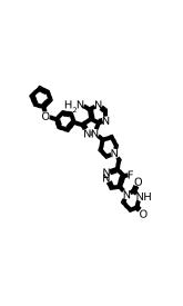 Nc1ncnc2c1c(-c1ccc(Oc3ccccc3)cc1)nn2C1CCN(Cc2nncc(N3CCC(=O)NC3=O)c2F)CC1